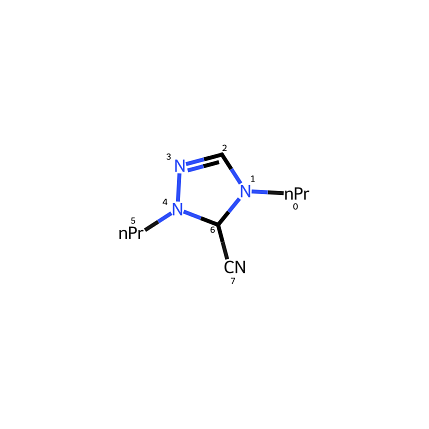 CCCN1C=NN(CCC)C1C#N